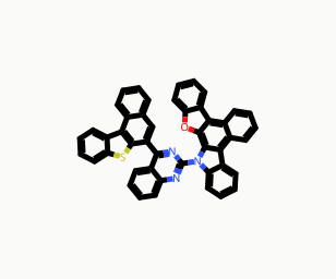 c1ccc2c(c1)cc(-c1nc(-n3c4ccccc4c4c5ccccc5c5c6ccccc6oc5c43)nc3ccccc13)c1sc3ccccc3c12